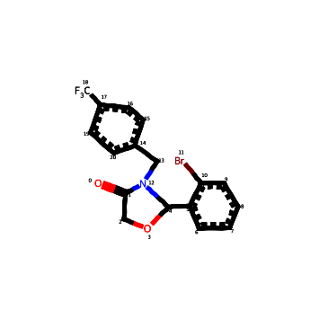 O=C1COC(c2ccccc2Br)N1Cc1ccc(C(F)(F)F)cc1